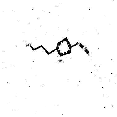 N.[N-]=[N+]=Nc1ccc(CCCO)cc1